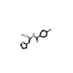 O=C(O)C(=Cc1ccco1)NC(=O)c1ccc(Br)cc1